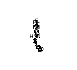 C[C@@H]1CN(c2ncc(C(F)(F)F)cn2)C[C@H](C)N1C(=O)NC1CC2(C1)CN(Cc1ccc3occc3c1)C2